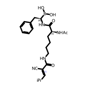 CC(=O)N[C@@H](CCCCNC(=O)/C(C#N)=C/C(C)C)C(=O)N[C@@H](Cc1ccccc1)B(O)O